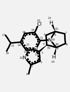 Cc1cc([C@H]2C[C@@H]3CC[C@H]2N3c2ncc(C(C)C)cc2Cl)on1